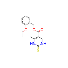 CCOc1ccccc1COC(=O)C1=C(C)NC(=S)NC1